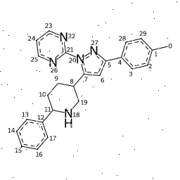 Cc1ccc(-c2cc(C3CCC(c4ccccc4)NC3)n(-c3ncccn3)n2)cc1